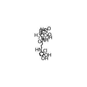 C[C@]1(/C=N/NC(=O)CCCNc2ccc(O)c(O)c2Cl)[C@H](C(=O)O)N2C(=O)C[C@H]2S1(=O)=O